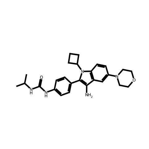 CC(C)NC(=O)Nc1ccc(-c2c(N)c3cc(N4CCOCC4)ccc3n2C2CCC2)cc1